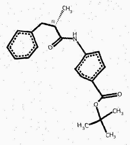 C[C@@H](Cc1ccccc1)C(=O)Nc1ccc(C(=O)OC(C)(C)C)cc1